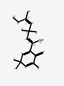 C=C1C(C)=CC(C)(C)C=C1/C(S)=C/C(C)(C)/C=C(/C)CC